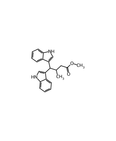 COC(=O)CC(C)C(c1c[nH]c2ccccc12)c1c[nH]c2ccccc12